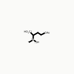 CC(=O)OCCC(C(=O)O)N(C)S